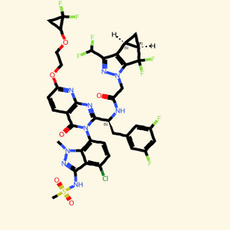 Cn1nc(NS(C)(=O)=O)c2c(Cl)ccc(-n3c([C@H](Cc4cc(F)cc(F)c4)NC(=O)Cn4nc(C(F)F)c5c4C(F)(F)[C@@H]4C[C@H]54)nc4nc(OCCOC5CC5(F)F)ccc4c3=O)c21